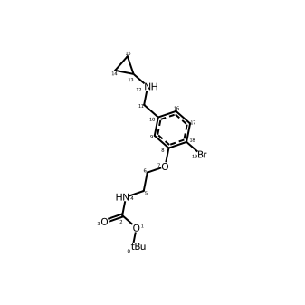 CC(C)(C)OC(=O)NCCOc1cc(CNC2CC2)ccc1Br